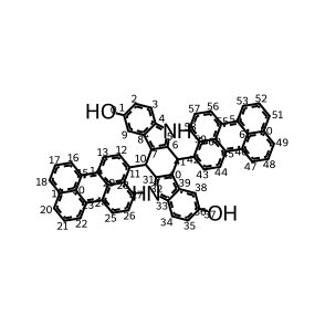 Oc1ccc2[nH]c3c(c2c1)C(c1ccc2c4cccc5cccc(c6cccc1c62)c54)c1[nH]c2ccc(O)cc2c1C3c1ccc2c3cccc4cccc(c5cccc1c52)c43